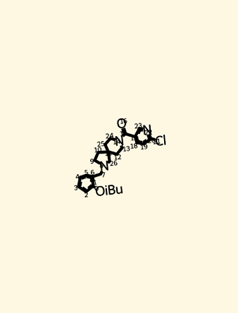 CC(C)COc1ccccc1CN1CCC2(CCN(C(=O)c3ccc(Cl)nc3)CC2)C1